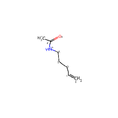 C=CCCCNC(C)=O